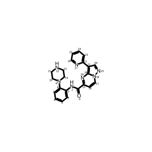 O=C(Nc1ccccc1N1CCNCC1)c1ccn2ncc(-c3ccccn3)c2n1